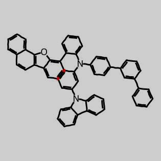 c1ccc(-c2cccc(-c3ccc(N(c4cccc(-n5c6ccccc6c6ccccc65)c4)c4ccccc4-c4cccc5c4oc4c6ccccc6ccc54)cc3)c2)cc1